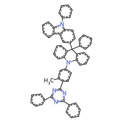 Cc1cc(N2c3ccccc3C(c3ccccc3)(c3ccc4c(c3)c3ccccc3n4-c3ccccc3)c3ccccc32)ccc1-c1nc(-c2ccccc2)nc(-c2ccccc2)n1